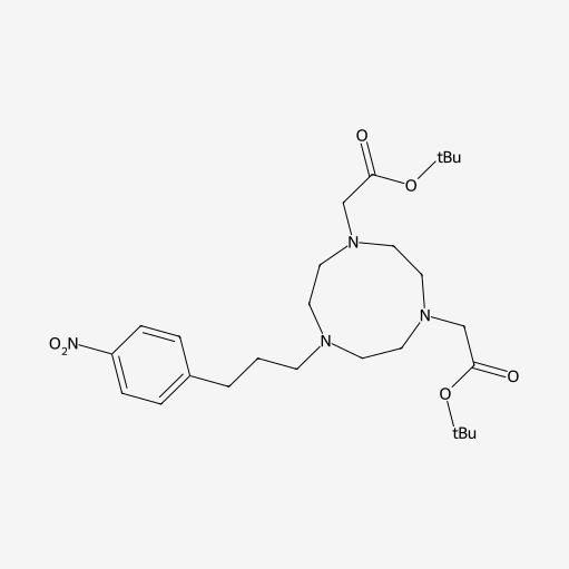 CC(C)(C)OC(=O)CN1CCN(CCCc2ccc([N+](=O)[O-])cc2)CCN(CC(=O)OC(C)(C)C)CC1